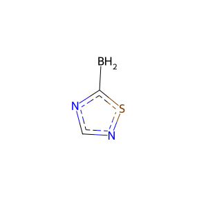 Bc1ncns1